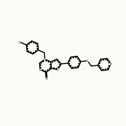 O=c1ncn(Cc2ccc(Cl)cc2)c2cc(-c3ccc(SCc4ccncc4)cc3)sc12